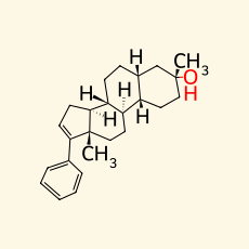 C[C@@]1(O)CC[C@H]2[C@H](CC[C@@H]3[C@@H]2CC[C@]2(C)C(c4ccccc4)=CC[C@@H]32)C1